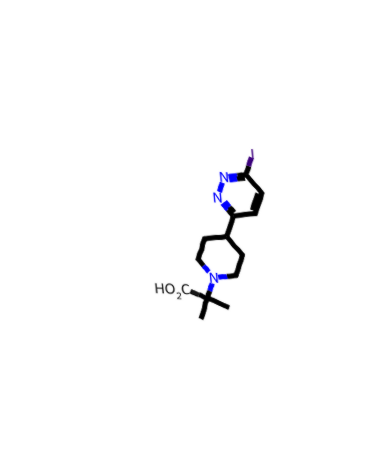 CC(C)(C(=O)O)N1CCC(c2ccc(I)nn2)CC1